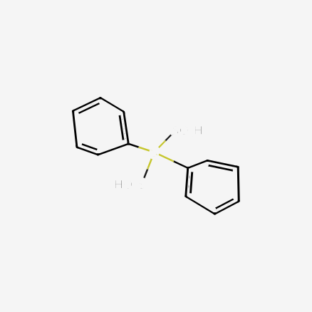 O=S(=O)(O)S(c1ccccc1)(c1ccccc1)S(=O)(=O)O